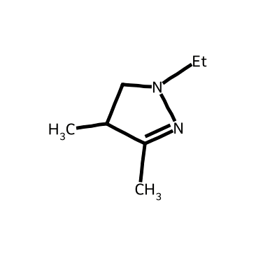 CCN1CC(C)C(C)=N1